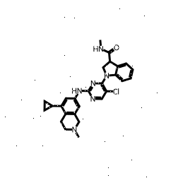 CNC(=O)C1CN(c2nc(Nc3cc4c(c(C5CC5)c3)CCN(C)C4)ncc2Cl)c2ccccc21